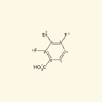 CCc1c(F)ccc(C(=O)O)c1F